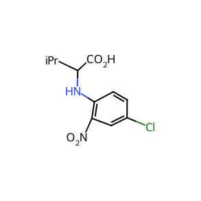 CC(C)C(Nc1ccc(Cl)cc1[N+](=O)[O-])C(=O)O